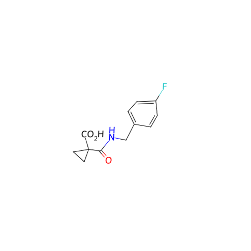 O=C(O)C1(C(=O)NCc2ccc(F)cc2)CC1